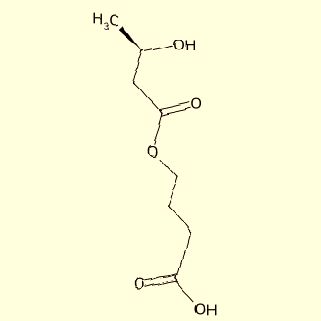 C[C@@H](O)CC(=O)OCCCC(=O)O